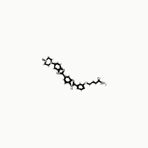 BC(=O)CCCOc1cccc(-c2nc3cc(-c4nc5ccc(N6CCN(C)CC6)cc5[nH]4)ccc3[nH]2)c1